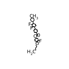 C=CCCCOc1ccc(OC(=O)c2ccc(-c3ccc(C4CCC(C)CC4)c(F)c3F)cc2)cc1F